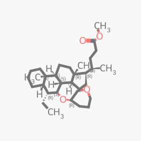 CC[C@H]1[C@H](O[C@@H]2CCCOC2)[C@@H]2[C@H](CC[C@]3(C)[C@@H]([C@H](C)CCC(=O)OC)CC[C@@H]23)[C@@]2(C)CCCC[C@@H]12